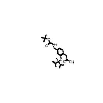 C=C(C)[C@](C)(Oc1cc(CNC(=O)OC(C)(C)C)ccc1CC(=O)O)C(C)C